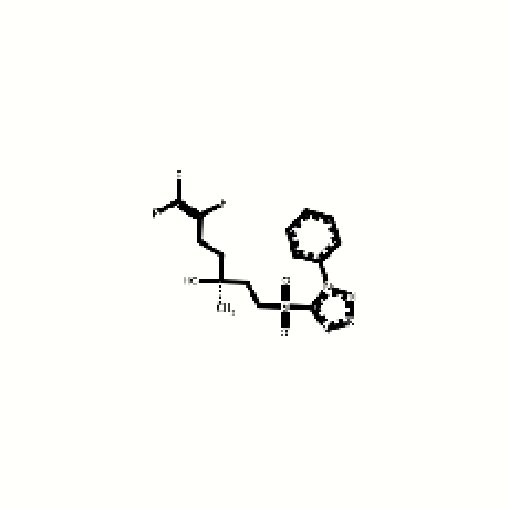 C[C@](O)(CCC(F)=C(F)F)CCS(=O)(=O)c1nnnn1-c1ccccc1